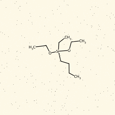 CCC[CH][Si](CC)(OCC)OCC